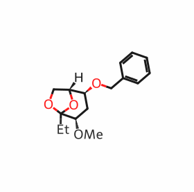 CCC12OC[C@@H](O1)[C@@H](OCc1ccccc1)C[C@H]2OC